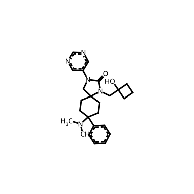 CN(C)C1(c2ccccc2)CCC2(CC1)CN(c1cncnc1)C(=O)N2CC1(O)CCC1